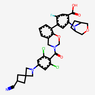 N#CC1CC2(C1)CN(c1cc(Cl)c(C(=O)N3COc4c(cccc4-c4cc(N5C6CCC5COC6)c(C(=O)O)cc4F)C3)c(Cl)c1)C2